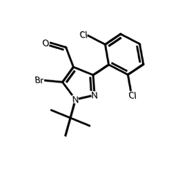 CC(C)(C)n1nc(-c2c(Cl)cccc2Cl)c(C=O)c1Br